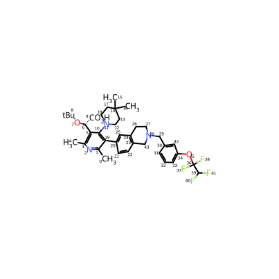 Cc1nc(C)c([C@H](OC(C)(C)C)C(=O)O)c(N2CCC(C)(C)CC2)c1-c1ccc2c(c1)CCN(Cc1cccc(OC(F)(F)C(F)F)c1)C2